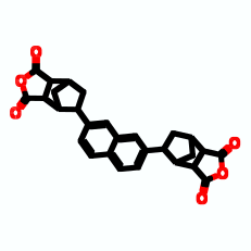 O=C1OC(=O)C2C3CC(CC3c3ccc4ccc(C5CC6CC5C5C(=O)OC(=O)C65)cc4c3)C12